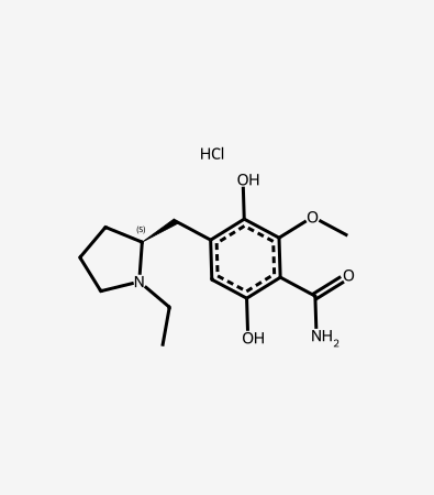 CCN1CCC[C@H]1Cc1cc(O)c(C(N)=O)c(OC)c1O.Cl